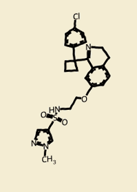 Cn1cc(S(=O)(=O)NCCOc2ccc3c(c2)C(C2(c4ccc(Cl)cc4)CCC2)=NCC3)cn1